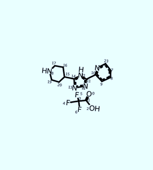 O=C(O)C(F)(F)F.c1ccc(-c2nnc(C3CCNCC3)[nH]2)nc1